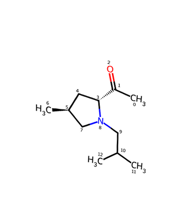 CC(=O)[C@H]1C[C@H](C)CN1CC(C)C